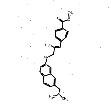 COC(=O)c1ccc(/C=C(\C)CNc2cnc3ccc(CN(C)C)cc3c2)cc1